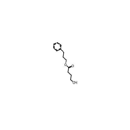 O=C(CCCO)OCCCc1ccccc1